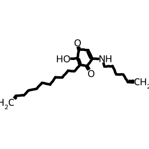 C=CCCCCCCCCCC1=C(O)C(=O)C=C(NCCCCC=C)C1=O